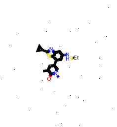 CCSNc1cc(-c2cc(C)c(=O)n(C)c2)c2sc(C3CC3)nc2c1